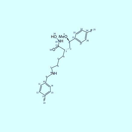 CO[C@H](C[C@H](CCCCNCc1ccc(F)cc1)C(=O)NO)c1ccc(F)cc1